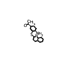 CC(=O)c1ccc(N)c(Sc2ccc3ccccc3n2)c1